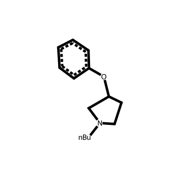 CCCCN1CCC(Oc2ccccc2)C1